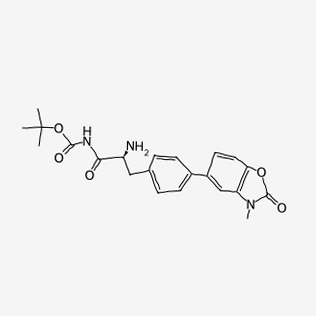 Cn1c(=O)oc2ccc(-c3ccc(C[C@H](N)C(=O)NC(=O)OC(C)(C)C)cc3)cc21